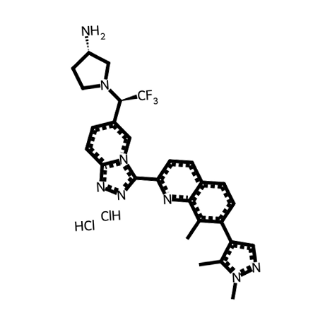 Cc1c(-c2cnn(C)c2C)ccc2ccc(-c3nnc4ccc([C@@H](N5CC[C@H](N)C5)C(F)(F)F)cn34)nc12.Cl.Cl